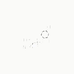 CCO/C(=N\C#N)C(C)(C)Oc1ccc(Cl)cc1F